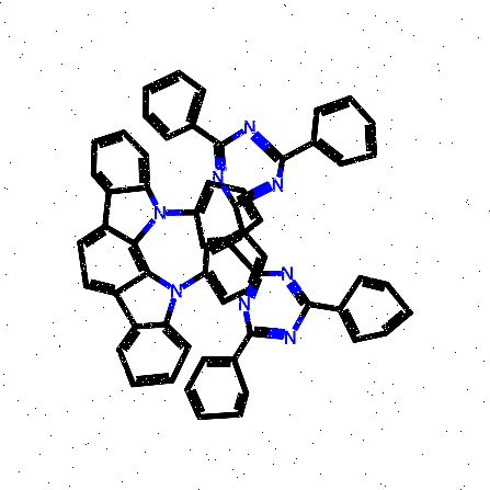 c1ccc(-c2nc(-c3ccccc3)nc(-c3cccc(-n4c5ccccc5c5ccc6c7ccccc7n(-c7cccc(-c8nc(-c9ccccc9)nc(-c9ccccc9)n8)c7)c6c54)c3)n2)cc1